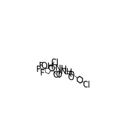 O=C(NCc1ccc(-c2ccc(Cl)cc2)o1)Nc1c(Cl)cc2c(c1Cl)CCC2(O)C(F)(F)F